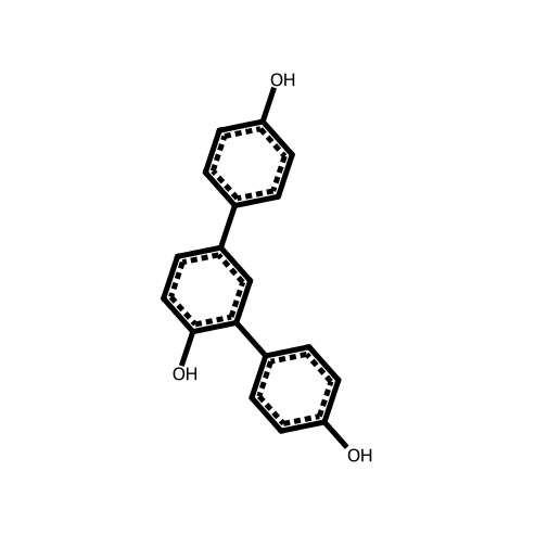 Oc1ccc(-c2ccc(O)c(-c3ccc(O)cc3)c2)cc1